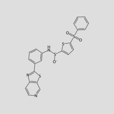 O=S(=O)(c1ccccc1)c1ccc([S+]([O-])Nc2cccc(-c3nc4ccncc4s3)c2)s1